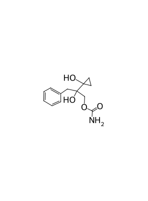 NC(=O)OCC(O)(Cc1ccccc1)C1(O)CC1